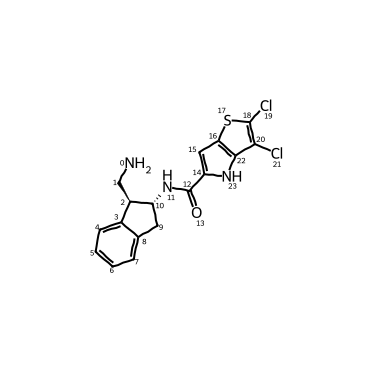 NC[C@@H]1c2ccccc2C[C@H]1NC(=O)c1cc2sc(Cl)c(Cl)c2[nH]1